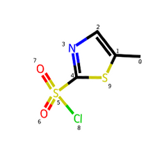 Cc1cnc(S(=O)(=O)Cl)s1